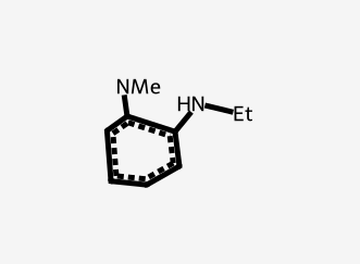 CCNc1ccccc1NC